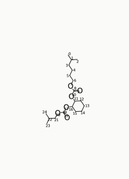 CC(C)CCCCOC(=O)OC1CCCCC1OC(=O)OCC(C)C